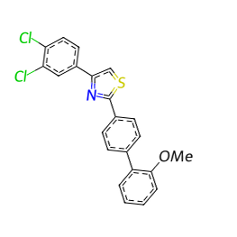 COc1ccccc1-c1ccc(-c2nc(-c3ccc(Cl)c(Cl)c3)cs2)cc1